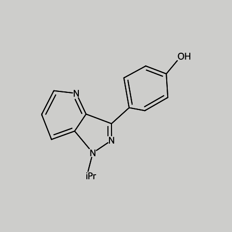 CC(C)n1nc(-c2ccc(O)cc2)c2ncccc21